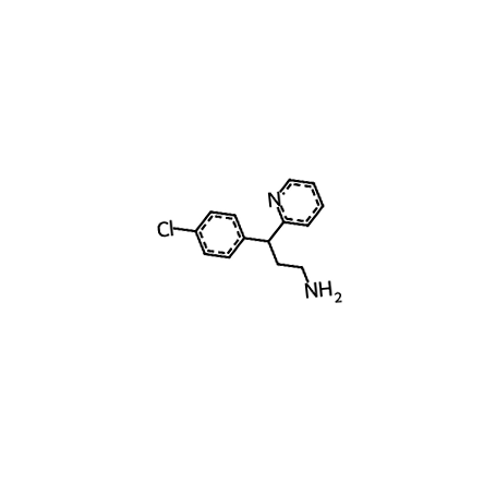 NCCC(c1ccc(Cl)cc1)c1ccccn1